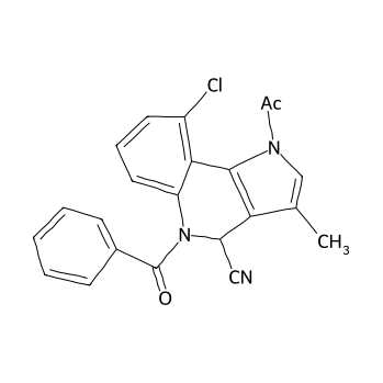 CC(=O)n1cc(C)c2c1-c1c(Cl)cccc1N(C(=O)c1ccccc1)C2C#N